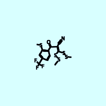 CSSC(SSC)=C(C#N)C(=O)c1ccc(C(F)(F)F)cc1SC